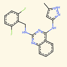 Cc1cc(Nc2nc(NCc3c(F)cccc3F)nc3ccccc23)n[nH]1